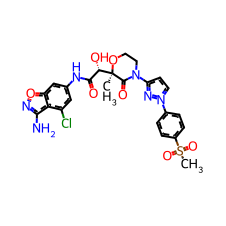 C[C@]1([C@@H](O)C(=O)Nc2cc(Cl)c3c(N)noc3c2)OCCN(c2ccn(-c3ccc(S(C)(=O)=O)cc3)n2)C1=O